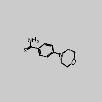 NC(=S)c1ccc(N2CCOCC2)cc1